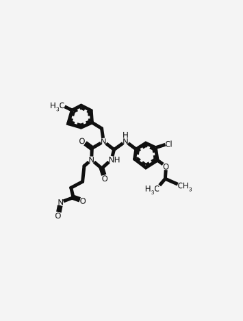 Cc1ccc(CN2C(=O)N(CCCC(=O)N=O)C(=O)NC2Nc2ccc(OC(C)C)c(Cl)c2)cc1